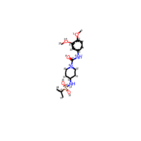 COc1ccc(NC(=O)N2CCC(NS(=O)(=O)C(C)C)CC2)cc1OC